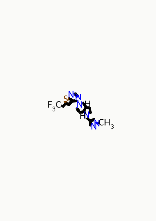 Cn1cc(CN2CC[C@H]3CN(c4ncnc5sc(CC(F)(F)F)cc45)CC[C@H]32)cn1